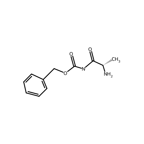 C[C@H](N)C(=O)[N]C(=O)OCc1ccccc1